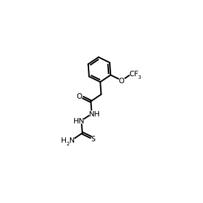 NC(=S)NNC(=O)Cc1ccccc1OC(F)(F)F